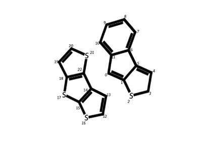 C1=C2SCC=C2c2ccccc21.c1cc2c(s1)sc1ccsc12